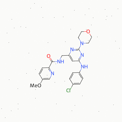 COc1ccc(C(=O)NCc2cc(Nc3ccc(Cl)cc3)nc(N3CCOCC3)n2)nc1